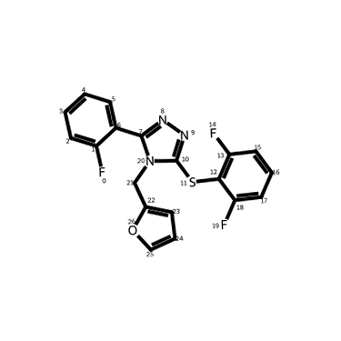 Fc1ccccc1-c1nnc(Sc2c(F)cccc2F)n1Cc1ccco1